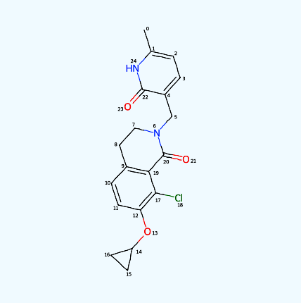 Cc1ccc(CN2CCc3ccc(OC4CC4)c(Cl)c3C2=O)c(=O)[nH]1